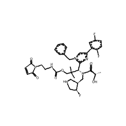 C[C@H](O)C(=O)N(C[C@@H]1CNC[C@@H]1F)[C@@H](c1nc(-c2cc(F)ccc2F)cn1Cc1ccccc1)C(C)(C)COC(=O)NCCN1C(=O)C=CC1=O